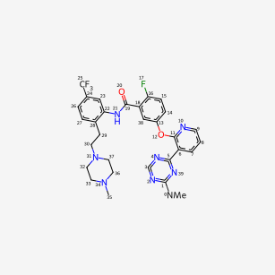 CNc1ncnc(-c2cccnc2Oc2ccc(F)c(C(=O)Nc3cc(C(F)(F)F)ccc3CCN3CCN(C)CC3)c2)n1